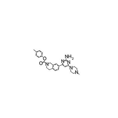 Cc1ccc(OC(=O)N2CCc3ccc(-c4cc(N5CCN(C)CC5)nc(N)n4)cc3C2)cc1